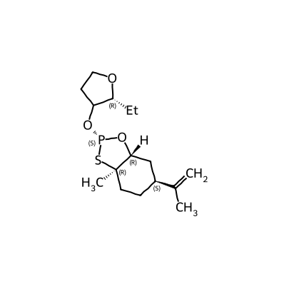 C=C(C)[C@H]1CC[C@@]2(C)S[P@](OC3CCO[C@@H]3CC)O[C@@H]2C1